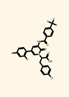 O=C(Nc1cc(-c2ccc(F)cc2F)cn(C(Cc2ccc(Cl)cc2)C(=O)O)c1=O)c1ccc(C(F)(F)F)cc1